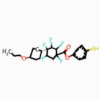 CCCO[C@H]1CC[C@H](C2(F)C(F)[CH]C(F)(C(=O)Oc3ccc(S)cc3)C(F)C2F)CC1